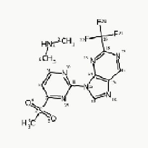 CNC.CS(=O)(=O)c1ccnc(-n2cnc3cnc(C(F)(F)F)nc32)n1